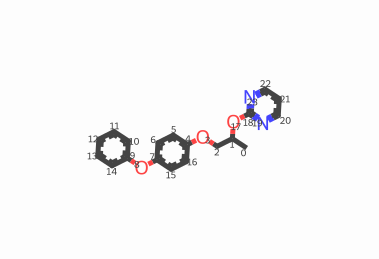 CC(COc1ccc(Oc2ccccc2)cc1)Oc1ncccn1